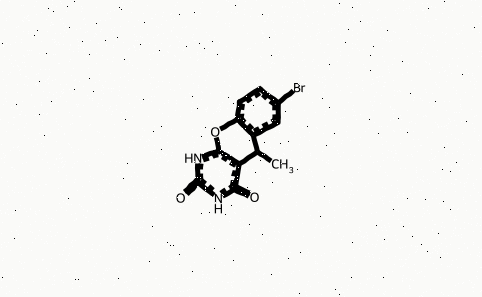 CC1c2cc(Br)ccc2Oc2[nH]c(=O)[nH]c(=O)c21